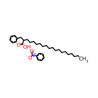 CCCCCCCCCCCCCCCCCCC(Cc1ccccc1)C(=O)O.O=[N+]([O-])c1ccccc1